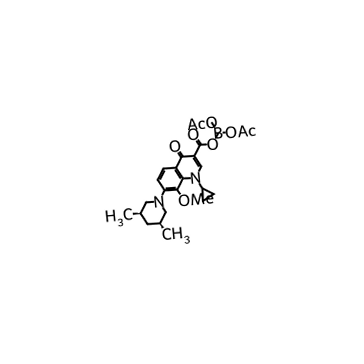 COc1c(N2C[C@H](C)C[C@H](C)C2)ccc2c(=O)c(C(=O)OB(OC(C)=O)OC(C)=O)cn(C3CC3)c12